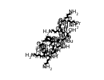 CC[C@H](C)[C@H](NC(=O)[C@H](CO)NC(=O)[C@H](CCCCN)NC(=O)[C@H](CC(C)C)NC(=O)[C@H](CCCCN)NC(=O)[C@@H](N)CC(C)C)C(=O)N[C@H](C(=O)N[C@@H](CO)C(=O)N[C@@H](Cc1c[nH]c2ccccc12)C(=O)N[C@@H](C)C(=O)N[C@@H](CCCCN)C(=O)N[C@@H](CCCCN)C(=O)N[C@H](C(=O)N[C@@H](CC(C)C)C(N)=O)C(C)C)C(C)C